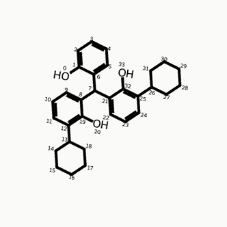 Oc1ccccc1C(c1cccc(C2CCCCC2)c1O)c1cccc(C2CCCCC2)c1O